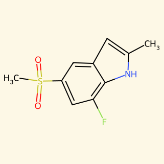 Cc1cc2cc(S(C)(=O)=O)cc(F)c2[nH]1